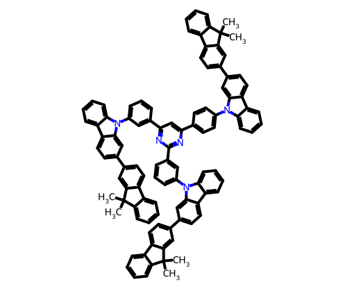 CC1(C)c2ccccc2-c2ccc(-c3ccc4c5ccccc5n(-c5ccc(-c6cc(-c7cccc(-n8c9ccccc9c9ccc(-c%10ccc%11c(c%10)C(C)(C)c%10ccccc%10-%11)cc98)c7)nc(-c7cccc(-n8c9ccccc9c9ccc(-c%10ccc%11c(c%10)C(C)(C)c%10ccccc%10-%11)cc98)c7)n6)cc5)c4c3)cc21